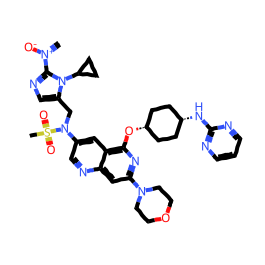 C=[N+]([O-])c1ncc(CN(c2cnc3cc(N4CCOCC4)nc(O[C@H]4CC[C@@H](Nc5ncccn5)CC4)c3c2)S(C)(=O)=O)n1C1CC1